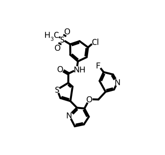 CS(=O)(=O)c1cc(Cl)cc(NC(=O)c2cc(-c3ncccc3OCc3cncc(F)c3)cs2)c1